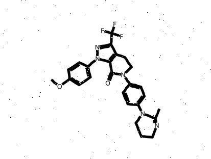 COc1ccc(-n2nc(C(F)(F)F)c3c2C(=O)N(c2ccc(N4CCCN=C4C)cc2)CC3)cc1